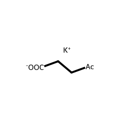 CC(=O)CCC(=O)[O-].[K+]